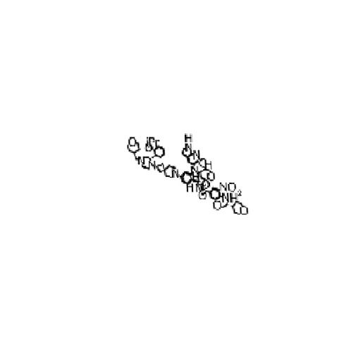 CC(C)Oc1ccccc1[C@@H]1CN(CC2CCOCC2)CCN1C1CC2(CCN(c3ccc(C(=O)NS(=O)(=O)c4cc5c(c([N+](=O)[O-])c4)N[C@H](C4CCOCC4)CO5)c(N4c5cc6cc[nH]c6nc5O[C@H]5COCC[C@@H]54)c3)CC2)C1